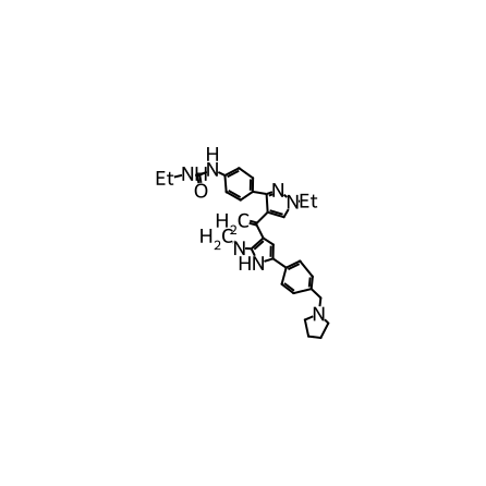 C=Nc1[nH]c(-c2ccc(CN3CCCC3)cc2)cc1C(=C)c1cn(CC)nc1-c1ccc(NC(=O)NCC)cc1